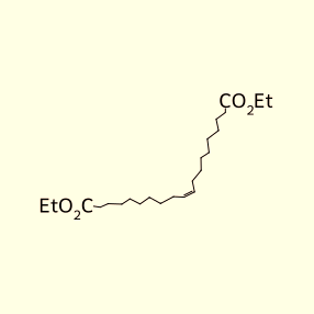 CCOC(=O)CCCCCCCC/C=C\CCCCCCCCC(=O)OCC